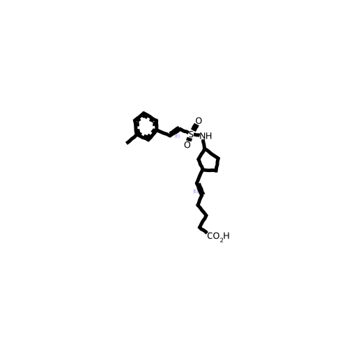 Cc1cccc(/C=C/S(=O)(=O)NC2CCC(/C=C/CCCC(=O)O)C2)c1